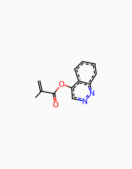 C=C(C)C(=O)Oc1cnnc2ccccc12